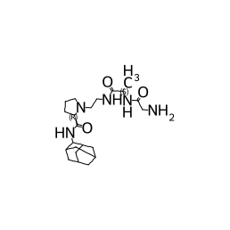 C[C@H](NC(=O)CN)C(=O)NCCN1CCC[C@@H]1C(=O)NC1C2CC3CC(C2)CC1C3